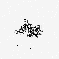 Cc1nn(C(C)c2ccc(Cl)cc2Cl)c2nc(N3CCC(N4CCCC4C4CC4C(=O)O)C(C)C3)cnc12